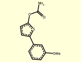 COc1cccc(-c2ccc(OC(N)=O)s2)c1